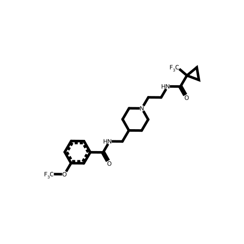 O=C(NCC1CCN(CCNC(=O)C2(C(F)(F)F)CC2)CC1)c1cccc(OC(F)(F)F)c1